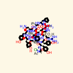 CC[C@H](C)[C@H](NC(=O)[C@H](CCCNC(=N)N)NC(=O)[C@H](CCCNC(=N)N)NC(=O)[C@H](Cc1ccc(O)cc1)NC(=O)[C@H](Cc1ccc(O)cc1)N(C)C(=O)[C@H](C)N(Cl)C(C)=O)C(=O)N[C@H](C(=O)N[C@@H](Cc1ccc(O)cc1)C(=O)N[C@@H](Cc1ccc(O)cc1)C(=O)N[C@@H](CC(N)=O)C(=O)N[C@@H](Cc1c[nH]c2ccccc12)C(=O)N[C@H](C(=O)N[C@@H](Cc1ccccc1)C(=O)N[C@H](C(=O)N[C@@H](CS)C(=O)O)C(C)C)C(C)C)[C@@H](C)CC